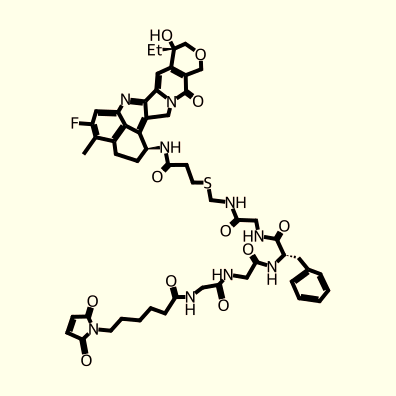 CC[C@@]1(O)COCc2c1cc1n(c2=O)Cc2c-1nc1cc(F)c(C)c3c1c2[C@@H](NC(=O)CCSCNC(=O)CNC(=O)[C@H](Cc1ccccc1)NC(=O)CNC(=O)CNC(=O)CCCCCN1C(=O)C=CC1=O)CC3